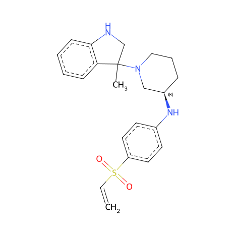 C=CS(=O)(=O)c1ccc(N[C@@H]2CCCN(C3(C)CNc4ccccc43)C2)cc1